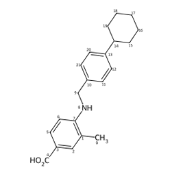 Cc1cc(C(=O)O)ccc1NCc1ccc(C2CCCCC2)cc1